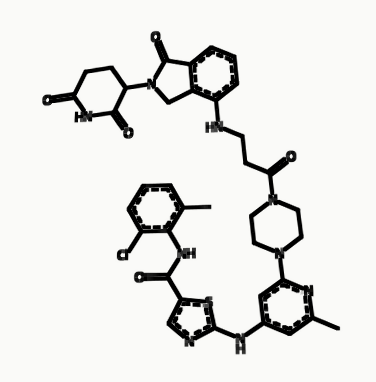 Cc1cc(Nc2ncc(C(=O)Nc3c(C)cccc3Cl)s2)cc(N2CCN(C(=O)CCNc3cccc4c3CN(C3CCC(=O)NC3=O)C4=O)CC2)n1